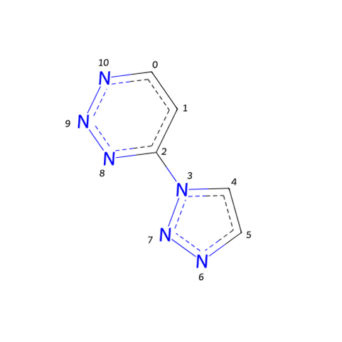 c1cc(-n2ccnn2)nnn1